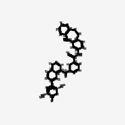 CN1C[C@@H]2CC[C@H]1CC2c1ccc2nccc(Nc3cccc(C(=O)Nc4cc5c(cn4)CCc4cnccc4N5)c3)c2c1